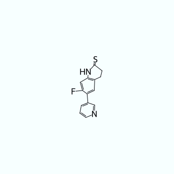 Fc1cc2c(cc1-c1cccnc1)CCC(=S)N2